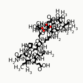 CC[C@H](C)[C@H](NC(=O)[C@H](CCC(N)=O)NC(=O)[C@@H]1CCCN1)C(=O)N[C@@H](CCC(=O)O)C(=O)N[C@@H](CC(N)=O)C(=O)N[C@H](C(=O)N[C@@H](CCCCN)C(=O)NCC(=O)N[C@H](C(=O)N[C@@H](CCC(=O)O)C(=O)N[C@@H](CC(N)=O)C(=O)N[C@@H](CO)C(=O)NCC(=O)N[C@H](C(=O)N[C@H](C(N)=O)[C@@H](C)O)[C@@H](C)O)[C@@H](C)O)C(C)C